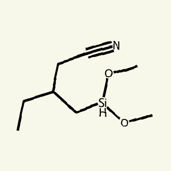 CCC(CC#N)C[SiH](OC)OC